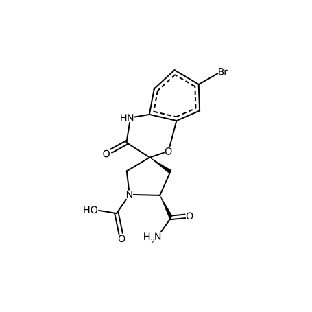 NC(=O)[C@@H]1C[C@]2(CN1C(=O)O)Oc1cc(Br)ccc1NC2=O